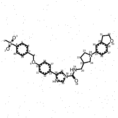 CS(=O)(=O)c1ccc(COc2ccc(-c3cn(C(=O)NCC4CCN(c5ccc6c(c5)CCO6)C4)cn3)cc2)cc1